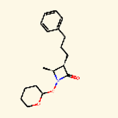 C[C@H]1[C@@H](CCCc2ccccc2)C(=O)N1OC1CCCCO1